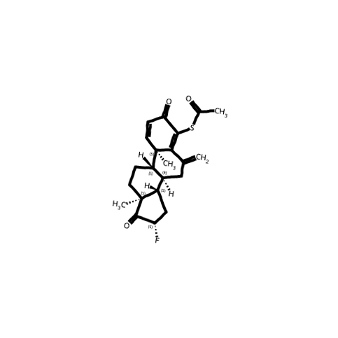 C=C1C[C@@H]2[C@H](CC[C@]3(C)C(=O)[C@@H](F)C[C@@H]23)[C@@]2(C)C=CC(=O)C(SC(C)=O)=C12